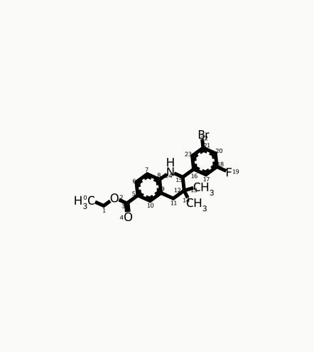 CCOC(=O)c1ccc2c(c1)CC(C)(C)C(c1cc(F)cc(Br)c1)N2